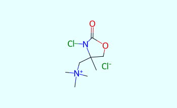 CC1(C[N+](C)(C)C)COC(=O)N1Cl.[Cl-]